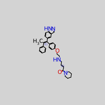 C/C(=C(/c1ccc(OCCNC/C=C/C(=O)N2CCCCC2)cc1)c1ccc2[nH]ncc2c1)c1ccccc1